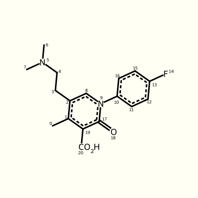 Cc1c(CCN(C)C)cn(-c2ccc(F)cc2)c(=O)c1C(=O)O